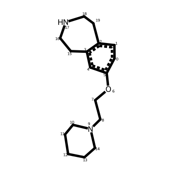 c1cc2c(cc1OCCN1CCCCC1)CCNCC2